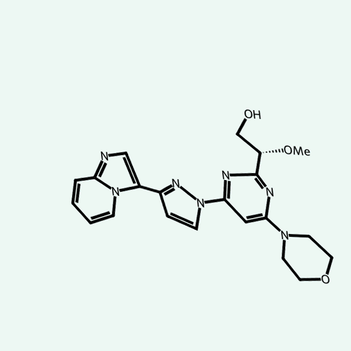 CO[C@@H](CO)c1nc(N2CCOCC2)cc(-n2ccc(-c3cnc4ccccn34)n2)n1